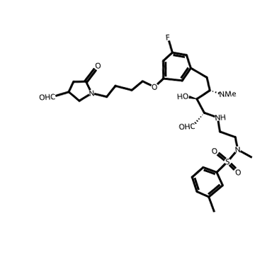 CN[C@@H](Cc1cc(F)cc(OCCCCN2CC(C=O)CC2=O)c1)[C@H](O)[C@@H](C=O)NCCN(C)S(=O)(=O)c1cccc(C)c1